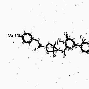 COc1ccc(CC(=O)N2C[C@@H]3C(N(C)c4nc(-c5ccncc5F)cc(=O)n4C)[C@@H]3C2)cc1